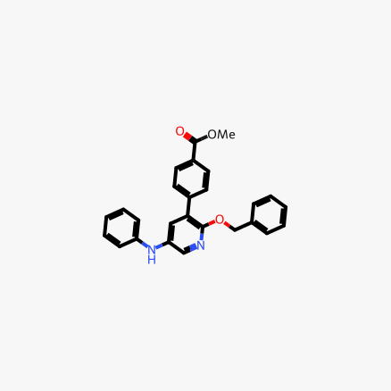 COC(=O)c1ccc(-c2cc(Nc3ccccc3)cnc2OCc2ccccc2)cc1